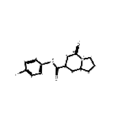 O=C(Oc1ccc(F)cc1)C1CC(=O)N2CCCC2C1